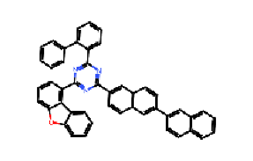 C1=CC2C=C(c3nc(-c4ccccc4-c4ccccc4)nc(-c4cccc5oc6ccccc6c45)n3)C=CC2C=C1c1ccc2ccccc2c1